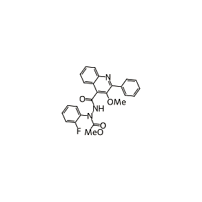 COC(=O)N(NC(=O)c1c(OC)c(-c2ccccc2)nc2ccccc12)c1ccccc1F